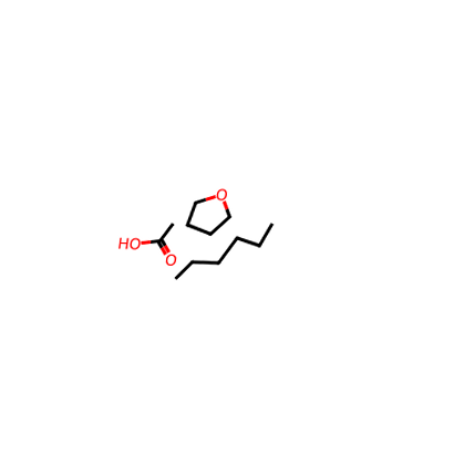 C1CCOC1.CC(=O)O.CCCCCC